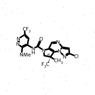 CNc1nnc(C(F)(F)F)cc1NC(=O)N1C[C@@](C)(C(F)(F)F)c2c1cnc1cc(Cl)nn21